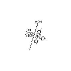 CCCCCCCCC=CCCCCCCCC(=O)O.Cc1ccc(OP(=O)(Oc2ccc(C)cc2)Oc2ccc(C)cc2)cc1.OCC(CO)(CO)CO